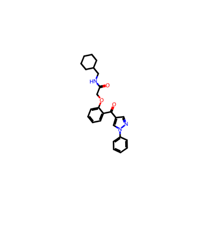 O=C(COc1ccccc1C(=O)c1cnn(-c2ccccc2)c1)NCC1CCCCC1